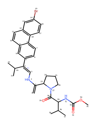 C=C(N/C=C(/c1ccc2c(ccc3cc(Br)ccc32)c1)C(C)C)C1CCCN1C(=O)C(NC(=O)OC)C(C)C